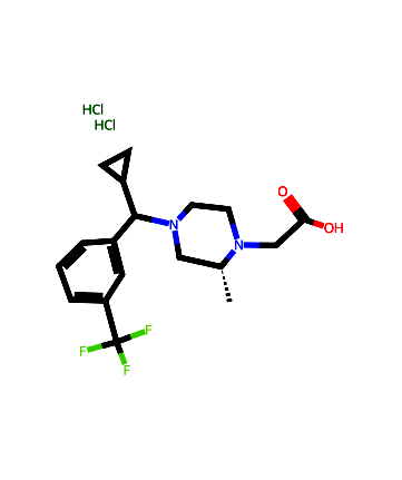 C[C@@H]1CN(C(c2cccc(C(F)(F)F)c2)C2CC2)CCN1CC(=O)O.Cl.Cl